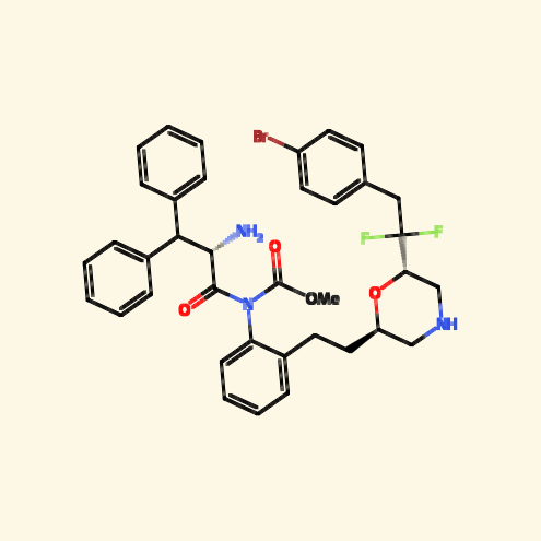 COC(=O)N(C(=O)[C@@H](N)C(c1ccccc1)c1ccccc1)c1ccccc1CC[C@@H]1CNC[C@@H](C(F)(F)Cc2ccc(Br)cc2)O1